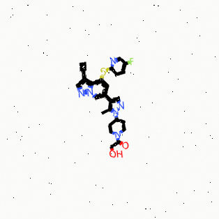 C#Cc1cnn2cc(-c3cnn(C4CCN(C(=O)CO)CC4)c3C)cc(SC3CC=C(F)C=N3)c12